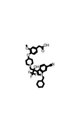 COc1cc(CC(=O)O)ccc1OC1CCN(CC(O)(c2cn(CC3CCCCC3)c3cc(C#N)ccc23)C(F)(F)F)CC1